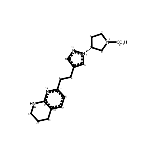 O=C(O)N1CC[C@@H](n2cc(CCc3ccc4c(n3)NCCC4)cn2)C1